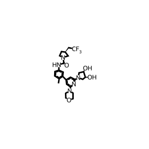 Cc1ccc(NC(=O)N2CC[C@@H](CC(F)(F)F)C2)cc1-c1cc(N2CCOCC2)nc(N2C[C@H](O)[C@@H](O)C2)c1